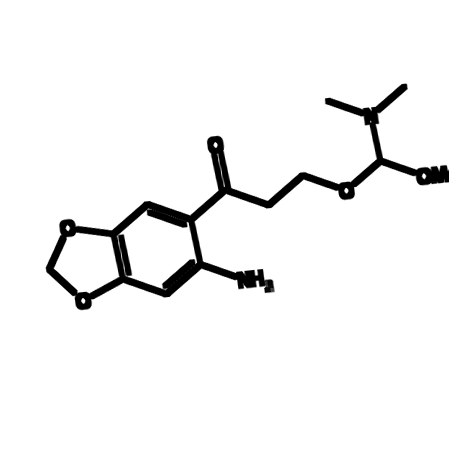 COC(OCCC(=O)c1cc2c(cc1N)OCO2)N(C)C